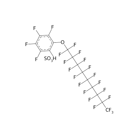 O=S(=O)(O)c1c(F)c(F)c(F)c(F)c1OC(F)(F)C(F)(F)C(F)(F)C(F)(F)C(F)(F)C(F)(F)C(F)(F)C(F)(F)C(F)(F)F